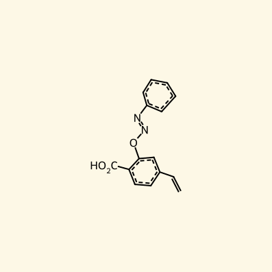 C=Cc1ccc(C(=O)O)c(ON=Nc2ccccc2)c1